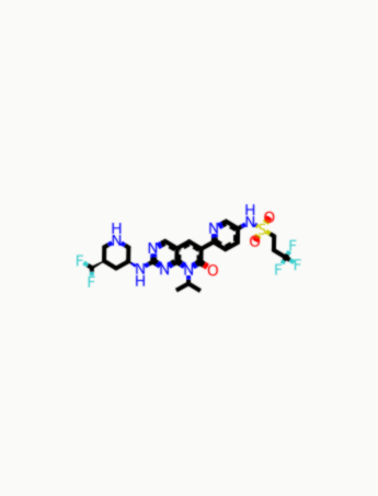 CC(C)n1c(=O)c(-c2ccc(NS(=O)(=O)CCC(F)(F)F)cn2)cc2cnc(N[C@@H]3CNC[C@H](C(F)F)C3)nc21